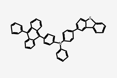 c1ccc(-c2c3ccccc3c(-c3ccc(N(c4ccccc4)c4ccc(-c5ccc6sc7ccccc7c6c5)cc4)cc3)c3ccccc23)cc1